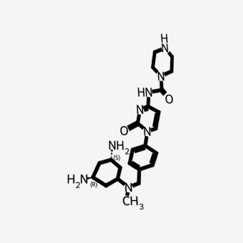 CN(Cc1ccc(-n2ccc(NC(=O)N3CCNCC3)nc2=O)cc1)C1C[C@@H](N)C[C@@H](N)C1